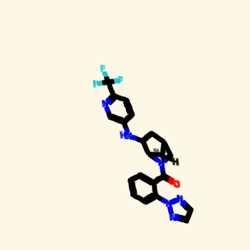 C[C@H]1C2CC(Nc3ccc(C(F)(F)F)nc3)C1N(C(=O)c1ccccc1-n1nccn1)C2